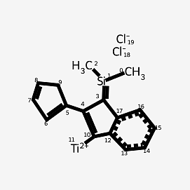 C[Si](C)=C1C(C2=CC=CC2)=[C]([Ti+2])c2ccccc21.[Cl-].[Cl-]